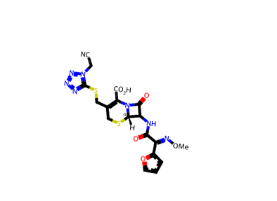 CON=C(C(=O)NC1C(=O)N2C(C(=O)O)=C(CSc3nnnn3CC#N)CS[C@@H]12)c1ccco1